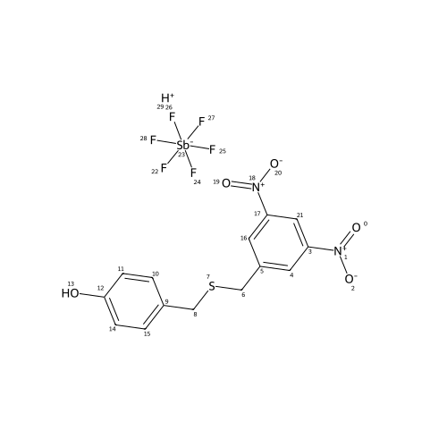 O=[N+]([O-])c1cc(CSCc2ccc(O)cc2)cc([N+](=O)[O-])c1.[F][Sb-]([F])([F])([F])([F])[F].[H+]